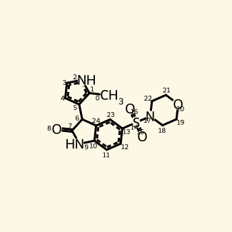 Cc1[nH]ccc1C1C(=O)Nc2ccc(S(=O)(=O)N3CCOCC3)cc21